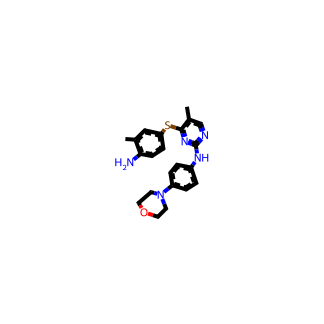 Cc1cc(Sc2nc(Nc3ccc(N4CCOCC4)cc3)ncc2C)ccc1N